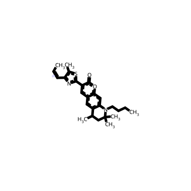 C/C=C\c1nc(-c2cc3cc4c(cc3oc2=O)N(CCCC)C(C)(C)CC4C)sc1C